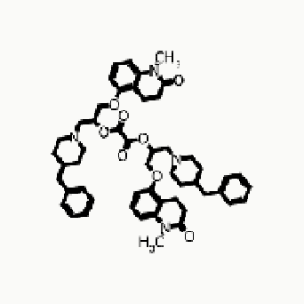 CN1C(=O)CCc2c(OCC(CN3CCC(Cc4ccccc4)CC3)OC(=O)C(=O)OC(COc3cccc4c3CCC(=O)N4C)CN3CCC(Cc4ccccc4)CC3)cccc21